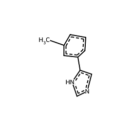 Cc1cccc(-c2cnc[nH]2)c1